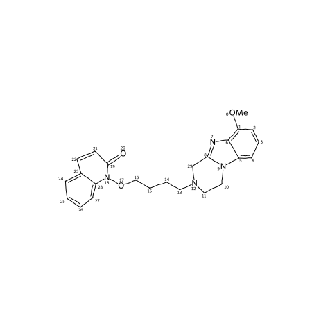 COc1cccc2c1nc1n2CCN(CCCCOn2c(=O)ccc3ccccc32)C1